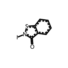 O=c1c2ccccc2sn1I